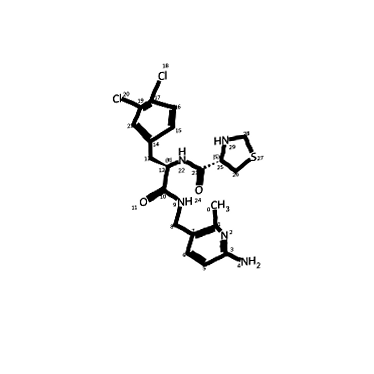 Cc1nc(N)ccc1CNC(=O)[C@@H](Cc1ccc(Cl)c(Cl)c1)NC(=O)[C@H]1CSCN1